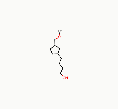 CCOCC1CCC(CCCCO)C1